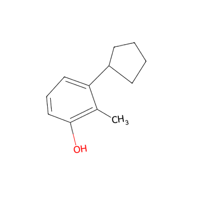 Cc1c(O)cccc1C1CCCC1